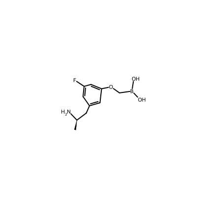 C[C@@H](N)Cc1cc(F)cc(OCB(O)O)c1